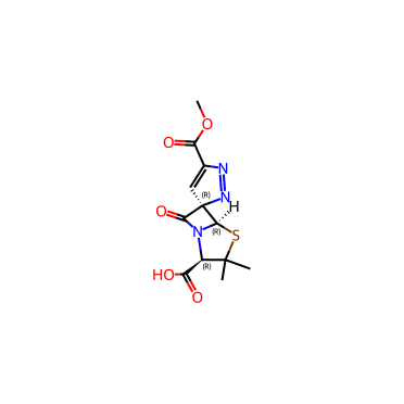 COC(=O)C1=C[C@@]2(N=N1)C(=O)N1[C@H](C(=O)O)C(C)(C)S[C@@H]12